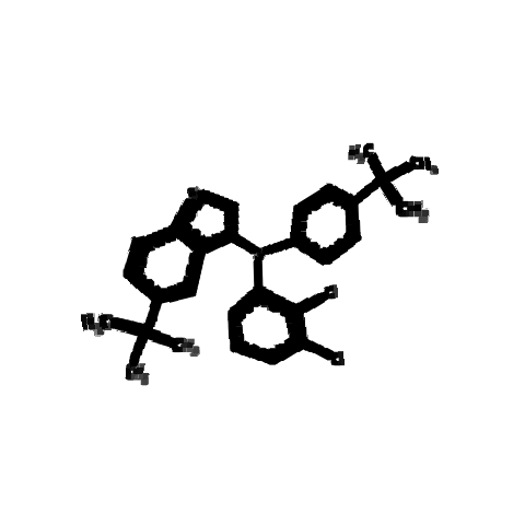 CC(C)(C)c1ccc(N(c2cccc(Cl)c2Cl)c2csc3ccc(C(C)(C)C)cc23)cc1